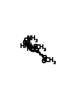 COc1c(OCCCCCOC(C)=O)ccc2c1CN1C(=N2)NC(=O)C1CC(N)=O